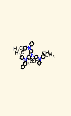 Cc1ccc(N(c2ccccc2)c2ccc3c(c2)C(C)(C)c2cc(N(c4ccccc4)c4ccc5ccccc5c4)cc4c5cc(N(c6ccccc6)c6ccc(C)c(C)c6)ccc5n-3c24)cc1C